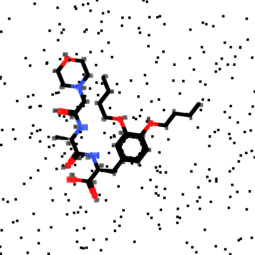 CCCCOc1ccc(C[C@H](NC(=O)[C@H](C)NC(=O)CN2CCOCC2)C(=O)O)cc1OCCCC